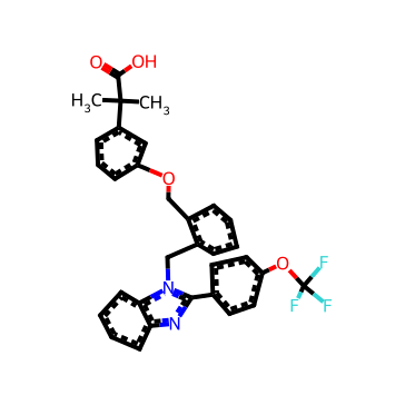 CC(C)(C(=O)O)c1cccc(OCc2ccccc2Cn2c(-c3ccc(OC(F)(F)F)cc3)nc3ccccc32)c1